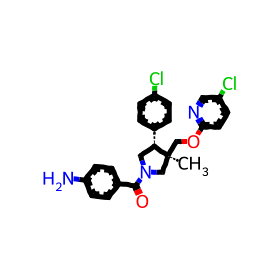 C[C@]1(COc2ccc(Cl)cn2)CN(C(=O)c2ccc(N)cc2)C[C@@H]1c1ccc(Cl)cc1